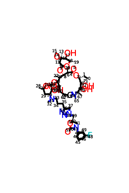 CC[C@H]1OC(=O)[C@H](C)[C@@H](O[C@H]2C[C@@](C)(OC)[C@@H](O)[C@H](C)O2)[C@H](C)[C@@H](O[C@@H]2O[C@H](C)C[C@H](N(C)CCCc3cn(C[C@H]4CN(c5cccc(F)c5)C(=O)O4)nn3)[C@H]2O)[C@](C)(O)C[C@@H](C)CN(C)[C@H](C)[C@@H](O)[C@]1(C)O